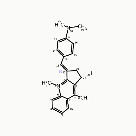 Cc1c2c([n+](C)c3ccccc13)/C(=C/c1ccc(N(C)C)cc1)CC2.[I-]